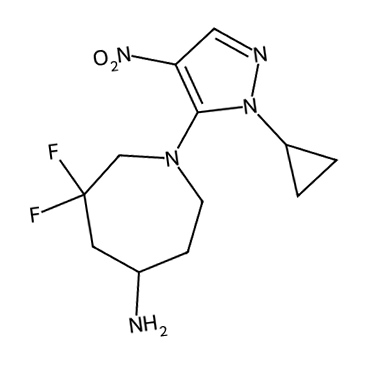 NC1CCN(c2c([N+](=O)[O-])cnn2C2CC2)CC(F)(F)C1